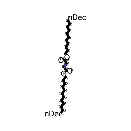 CCCCCCCCCCCCCCCCCCCCCOC(=O)/C=C/C(=O)OCCCCCCCCCCCCCCCCCCCCC